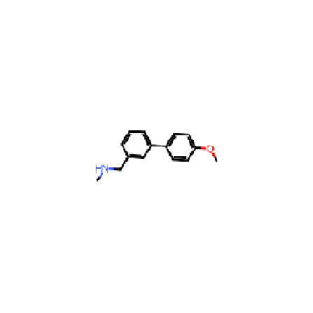 CNCc1cccc(-c2ccc(OC)cc2)c1